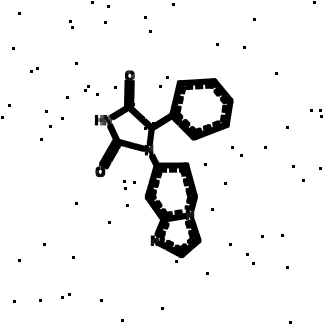 O=C1NC(=O)N(c2ccn3ccnc3c2)C1c1ccccc1